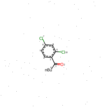 CCCCC(=O)c1ccc(Cl)cc1Cl